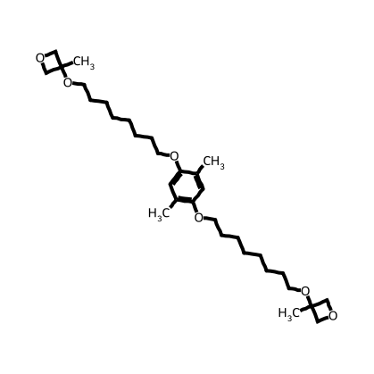 Cc1cc(OCCCCCCCCOC2(C)COC2)c(C)cc1OCCCCCCCCOC1(C)COC1